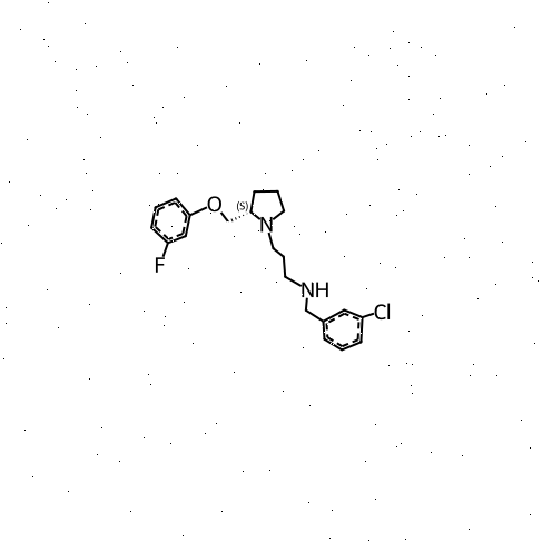 Fc1cccc(OC[C@@H]2CCCN2CCCNCc2cccc(Cl)c2)c1